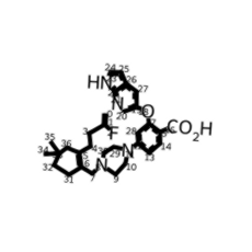 C=C(F)CCC1=C(CN2CCN(c3ccc(C(=O)O)c(Oc4cnc5[nH]ccc5c4)c3)CC2)CCC(C)(C)C1